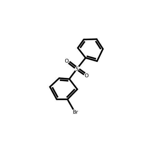 O=S(=O)(c1ccccc1)c1cccc(Br)c1